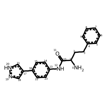 NC(CCc1ccccc1)C(=O)Nc1ccc(-c2cn[nH]c2)cc1